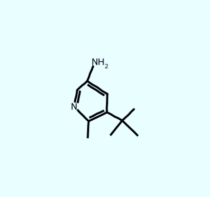 Cc1ncc(N)cc1C(C)(C)C